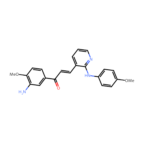 COc1ccc(Nc2ncccc2/C=C/C(=O)c2ccc(OC)c(N)c2)cc1